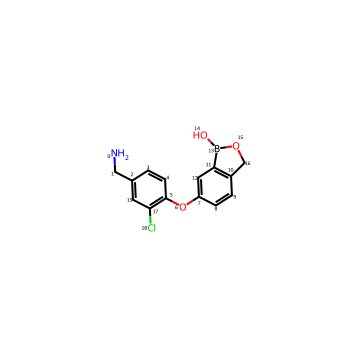 NCc1ccc(Oc2ccc3c(c2)B(O)OC3)c(Cl)c1